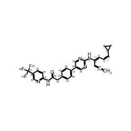 C=C=C/C(=C\C=C/C1CC1)Nc1ncc(-c2ccc(CC(=O)Nc3ccc(C(F)(F)F)cn3)cc2)cn1